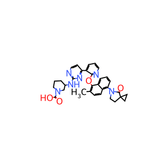 Cc1ccc2c(N3CCC4(CC4)C3=O)cccc2c1Oc1ncccc1-c1ccnc(NC2CCCN(C(=O)O)C2)n1